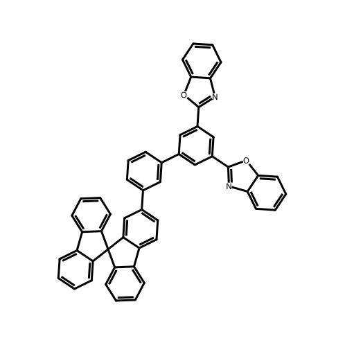 c1cc(-c2cc(-c3nc4ccccc4o3)cc(-c3nc4ccccc4o3)c2)cc(-c2ccc3c(c2)C2(c4ccccc4-c4ccccc42)c2ccccc2-3)c1